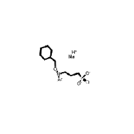 CC(=O)N(CCCP(=O)([O-])[O-])OCC1CCCCC1.[H+].[Na+]